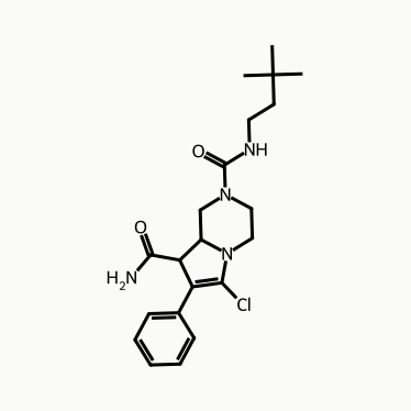 CC(C)(C)CCNC(=O)N1CCN2C(Cl)=C(c3ccccc3)C(C(N)=O)C2C1